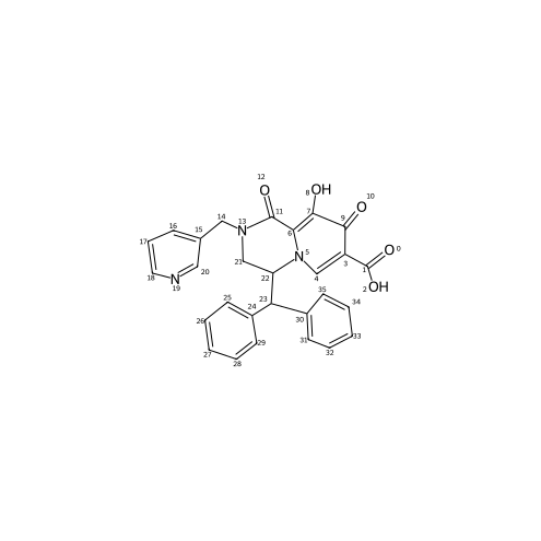 O=C(O)c1cn2c(c(O)c1=O)C(=O)N(Cc1cccnc1)CC2C(c1ccccc1)c1ccccc1